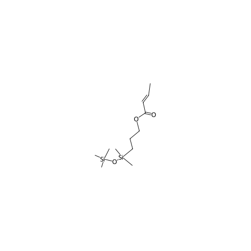 CC=CC(=O)OCCC[Si](C)(C)O[Si](C)(C)C